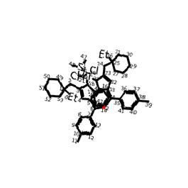 CCC1(CC2=Cc3c(-c4ccc(C)cc4)cccc3[CH]2[Zr]([Cl])([Cl])([CH]2C(CC3(CC)CCCCC3)=Cc3c(-c4ccc(C)cc4)cccc32)[SiH](C)C)CCCCC1